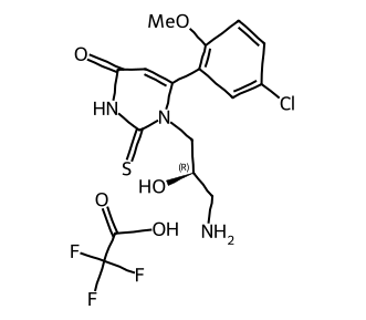 COc1ccc(Cl)cc1-c1cc(=O)[nH]c(=S)n1C[C@H](O)CN.O=C(O)C(F)(F)F